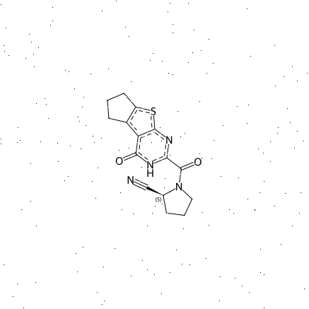 N#C[C@@H]1CCCN1C(=O)c1nc2sc3c(c2c(=O)[nH]1)CCC3